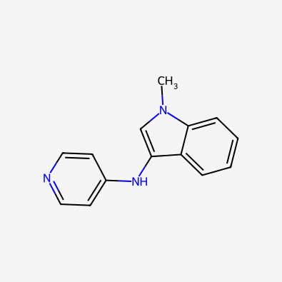 Cn1cc(Nc2ccncc2)c2ccccc21